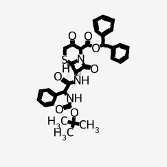 CC(C)(C)OC(=O)NC(C(=O)N[C@@H]1C(=O)N2C(C(=O)OC(c3ccccc3)c3ccccc3)C(=O)CS[C@@H]12)c1ccccc1